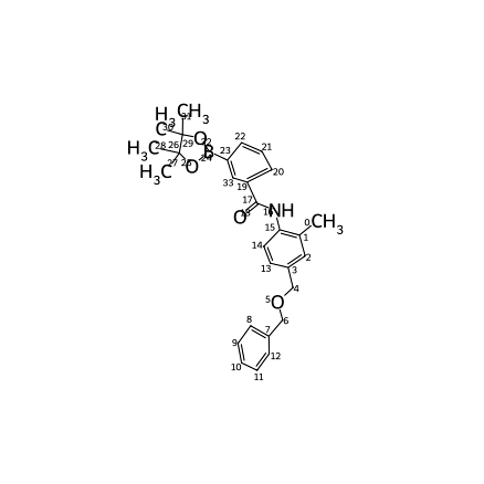 Cc1cc(COCc2ccccc2)ccc1NC(=O)c1cccc(B2OC(C)(C)C(C)(C)O2)c1